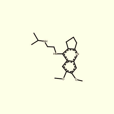 COc1cc2nc3c(c(NCCNC(C)C)c2cc1OC)CCC3